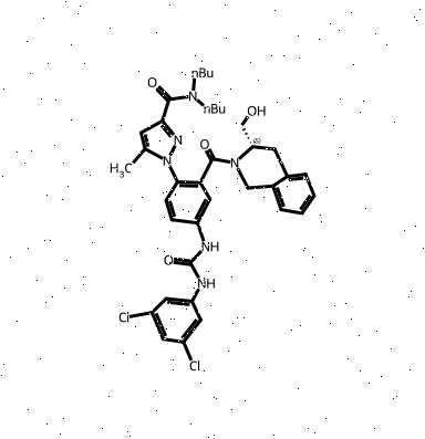 CCCCN(CCCC)C(=O)c1cc(C)n(-c2ccc(NC(=O)Nc3cc(Cl)cc(Cl)c3)cc2C(=O)N2Cc3ccccc3C[C@H]2CO)n1